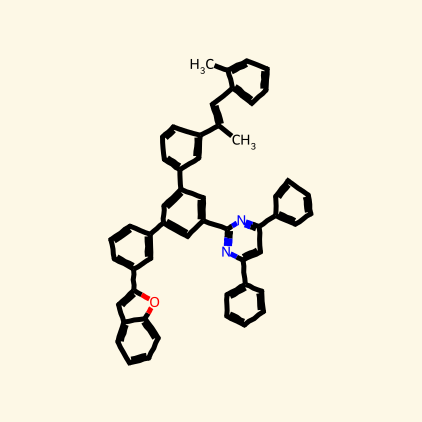 C/C(=C\c1ccccc1C)c1cccc(-c2cc(-c3cccc(-c4cc5ccccc5o4)c3)cc(-c3nc(-c4ccccc4)cc(-c4ccccc4)n3)c2)c1